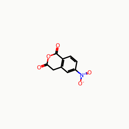 O=C1Cc2cc([N+](=O)[O-])ccc2C(=O)O1